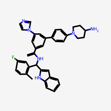 C=C(NC(c1cc2ccccc2[nH]1)c1cc(F)ccc1C)c1cc(-c2ccc(N3CCC(N)CC3)cc2)cc(-n2ccnc2)c1